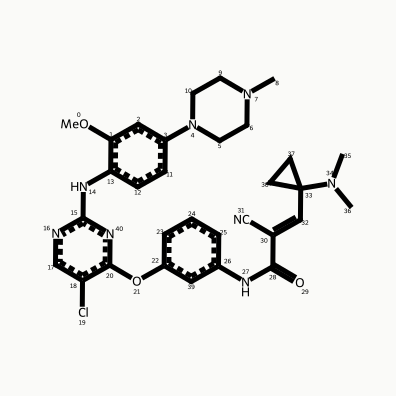 COc1cc(N2CCN(C)CC2)ccc1Nc1ncc(Cl)c(Oc2cccc(NC(=O)/C(C#N)=C/C3(N(C)C)CC3)c2)n1